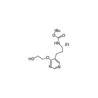 CC[C@H](CCc1cncnc1OCCO)NC(=O)OC(C)(C)C